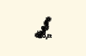 CCOC(=O)[C@@H](CNC(=O)CN1CCc2ccc(N3CCN(Cc4ccccc4)CC3)cc2C1=O)Cc1ccccc1Cl